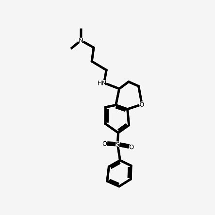 CN(C)CCCNC1CCOc2cc(S(=O)(=O)c3ccccc3)ccc21